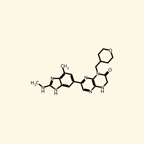 CNc1nc2c(C)cc(-c3cnc4c(n3)N(CC3CCOCC3)C(=O)CN4)cc2[nH]1